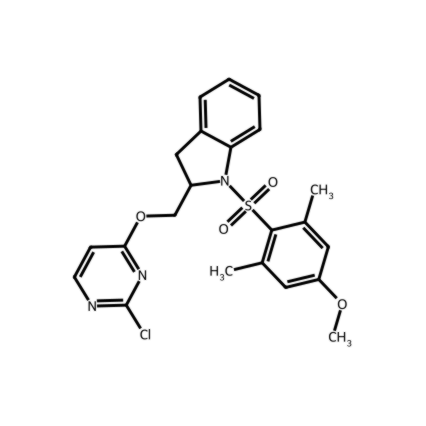 COc1cc(C)c(S(=O)(=O)N2c3ccccc3CC2COc2ccnc(Cl)n2)c(C)c1